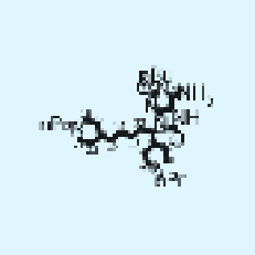 CCCCOc1nc(N)c2[nH]c(=O)n(C(CCCCC3CCN(CCC)CC3)C3CCN(CCC)CC3)c2n1